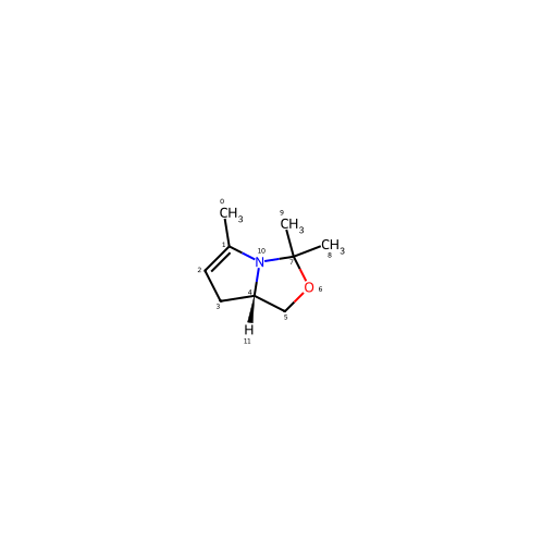 CC1=CC[C@H]2COC(C)(C)N12